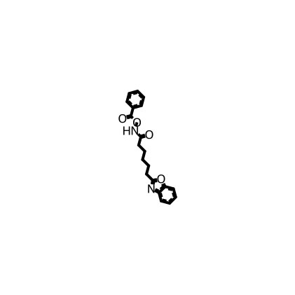 O=C(CCCCCc1nc2ccccc2o1)NOC(=O)c1ccccc1